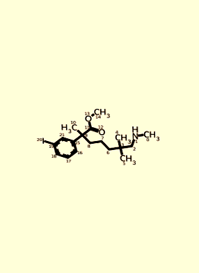 CNCC(C)(C)CCCC(C)(C(=O)OC)c1cccc(I)c1